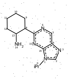 CC(C)n1cnc2cnc(C3CCCCC3N)nc21